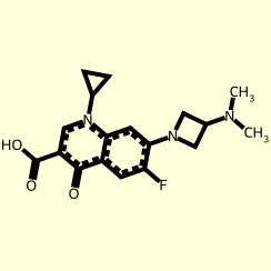 CN(C)C1CN(c2cc3c(cc2F)c(=O)c(C(=O)O)cn3C2CC2)C1